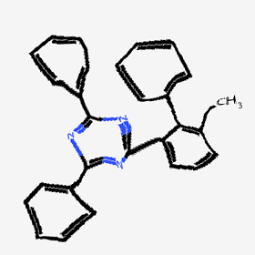 Cc1cccc(-c2nc(-c3ccccc3)nc(-c3ccccc3)n2)c1-c1ccccc1